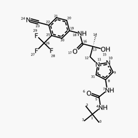 CC(C)(C)NC(=O)Nc1cnn(C[C@](C)(O)C(=O)Nc2ccc(C#N)c(C(F)(F)F)c2)c1